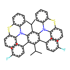 CC(C)c1c(-c2ccc(F)cc2)c(N2c3ccccc3Sc3ccccc32)c(C(C)C)c(N2c3ccccc3Sc3ccccc32)c1-c1ccc(F)cc1